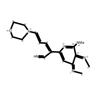 C/N=C1C=C(/C(C=N)=C/C=C/N2CCOCC2)N=C(NC)C/1=N/C